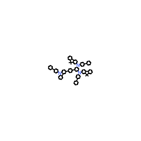 CC1(C)c2ccccc2-c2ccc(N(c3ccc(-c4ccccc4)cc3)c3cc(-c4ccc(-c5ccc6c(c5)c5ccccc5n6-c5ccc(-c6ccccc6)cc5)cc4)cc(N(c4ccc(-c5ccccc5)cc4)c4ccc5c(c4)C(C)(C)c4ccccc4-5)c3)cc21